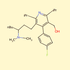 CCCCC(CCc1c(C(C)C)nc(C(C)C)c(CO)c1-c1ccc(F)cc1)N(C)C